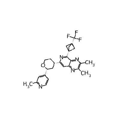 Cc1cc([C@H]2C[C@@H](c3cc4nc(C)c(C)nc4c([C@]45C[C@](C(F)(F)F)(C4)C5)n3)CCO2)ccn1